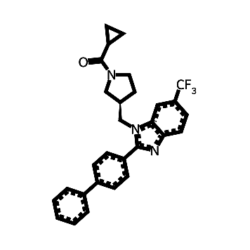 O=C(C1CC1)N1CC[C@@H](Cn2c(-c3ccc(-c4ccccc4)cc3)nc3ccc(C(F)(F)F)cc32)C1